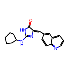 O=C1NC(NC2CCCCC2)=N/C1=C\c1ccc2ncccc2c1